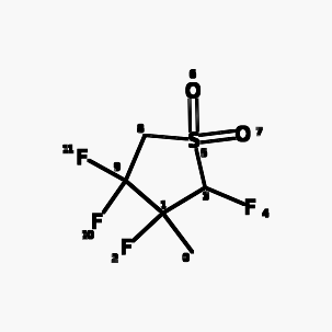 CC1(F)C(F)S(=O)(=O)CC1(F)F